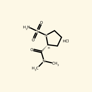 CN(C)C(=O)[C@H]1CCCN1S(N)(=O)=O.Cl